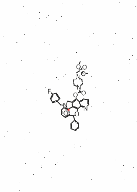 COP(=O)(CN1CCN(C(=O)Oc2c3c(c(OC(c4ccccc4)c4ccccc4)c4ncccc24)C(=O)N(Cc2ccc(F)cc2)C3)CC1)OC